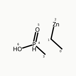 C[CH2][Zn].C[PH](=O)O